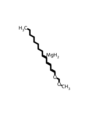 CCCCCCCCC=CC=CC=COCOC.[MgH2]